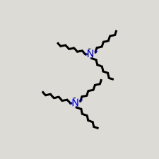 CCCCCCCC[N+](C)(CCCCCCCC)CCCCCCCC.CCCCCCCC[N+](C)(CCCCCCCC)CCCCCCCC